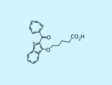 O=C(O)CCCCOc1c(C(=O)c2ccccc2)sc2ccccc12